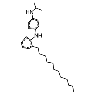 CCCCCCCCCCCCc1ccccc1Nc1ccc(NC(C)C)cc1